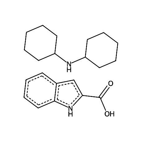 C1CCC(NC2CCCCC2)CC1.O=C(O)c1cc2ccccc2[nH]1